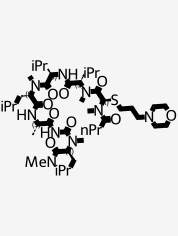 CCCC(=O)N(C)[C@H](SCCCN1CCOCC1)C(=O)N(C)[C@H](C(=O)N[C@H](C(=O)N(C)[C@@H](CC(C)C)C(=O)N[C@@H](C)C(=O)NC(=O)N(C)[C@@H](CC(C)C)C(=O)NC)C(C)C)C(C)C